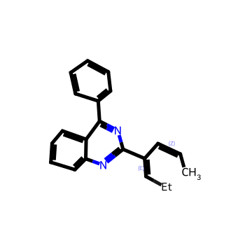 C/C=C\C(=C/CC)c1nc(-c2ccccc2)c2ccccc2n1